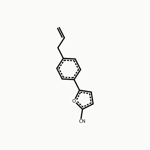 C=CCc1ccc(-c2ccc(C#N)o2)cc1